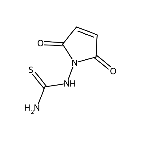 NC(=S)NN1C(=O)C=CC1=O